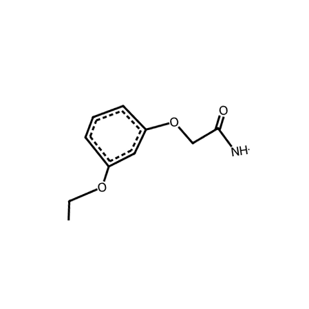 CCOc1cccc(OCC([NH])=O)c1